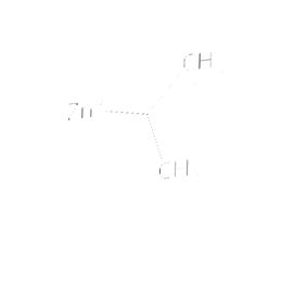 C[CH](C)[Zn+8]